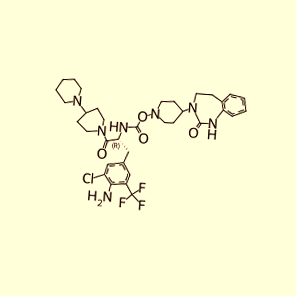 Nc1c(Cl)cc(C[C@@H](NC(=O)ON2CCC(N3CCc4ccccc4NC3=O)CC2)C(=O)N2CCC(N3CCCCC3)CC2)cc1C(F)(F)F